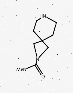 CNC(=O)N1CC2(CCNCC2)C1